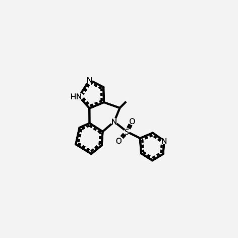 CC1c2cn[nH]c2-c2ccccc2N1S(=O)(=O)c1cccnc1